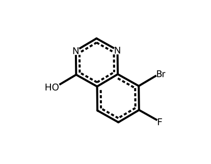 Oc1ncnc2c(Br)c(F)ccc12